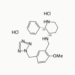 COc1ccc(Cn2ncnn2)cc1CN[C@H]1CCCN[C@H]1c1ccccc1.Cl.Cl